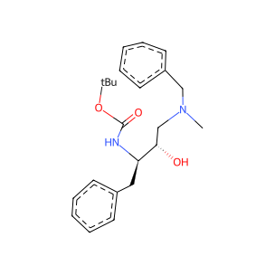 CN(Cc1ccccc1)C[C@H](O)[C@@H](Cc1ccccc1)NC(=O)OC(C)(C)C